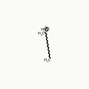 CCCCCCCCCCCCCCCCC(C)N1CN=NN1